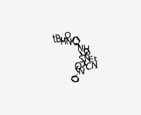 CCn1c(=O)/c(=C\Nc2cccc(NC(=O)C(C)(C)C)c2)s/c1=C(/C#N)C1=N[C@H](c2ccccc2)CO1